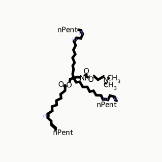 CCCCCC=CC/C=C\CCCCCCCC(=O)OCC(CCCCCCCC/C=C\C/C=C\CCCCC)(CCCCCCCC/C=C\C/C=C\CCCCC)CNC(=O)OCCCN(C)C